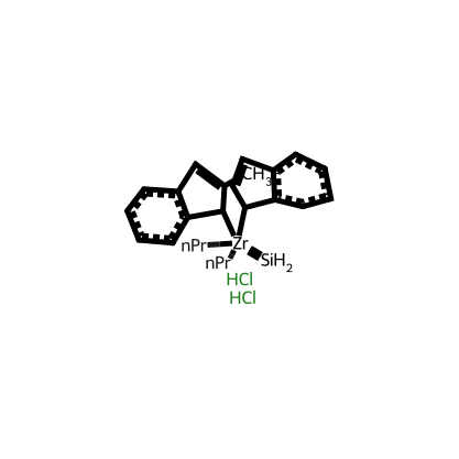 CC[CH2][Zr](=[SiH2])([CH2]CC)([CH]1C=Cc2ccccc21)[CH]1C(C)=Cc2ccccc21.Cl.Cl